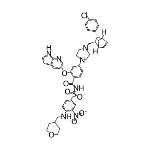 O=C(NS(=O)(=O)c1ccc(NCC2CCOCC2)c([N+](=O)[O-])c1)c1ccc(N2CCN(C[C@H]3[C@H](c4ccc(Cl)cc4)[C@@H]4C=C[C@H]3C4)CC2)cc1Oc1cnc2[nH]ccc2c1